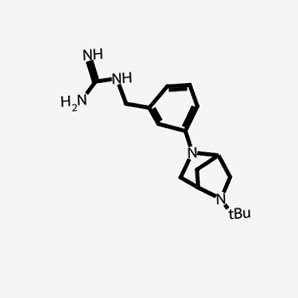 CC(C)(C)N1CC2CC1CN2c1cccc(CNC(=N)N)c1